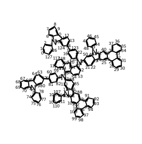 c1ccc(-n2c3ccccc3c3ccc(-c4ccc(N(c5ccc6c7cc8c9ccccc9c9ccccc9c8cc7n(-c7ccccc7)c6c5)c5cccc6c(N(c7ccc(-c8ccc9c%10ccccc%10n(-c%10ccccc%10)c9c8)cc7)c7ccc8c9cc%10c%11ccccc%11c%11ccccc%11c%10cc9n(-c9ccccc9)c8c7)c7ccccc7cc56)cc4)cc32)cc1